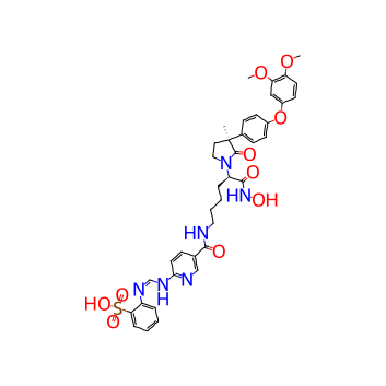 COc1ccc(Oc2ccc([C@]3(C)CCN([C@H](CCCCNC(=O)c4ccc(N/C=N\c5ccccc5S(=O)(=O)O)nc4)C(=O)NO)C3=O)cc2)cc1OC